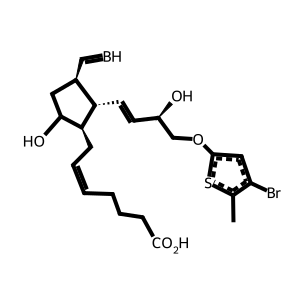 B=C[C@@H]1CC(O)[C@H](C/C=C\CCCC(=O)O)[C@H]1/C=C/[C@@H](O)COc1cc(Br)c(C)s1